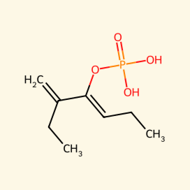 C=C(CC)C(=CCC)OP(=O)(O)O